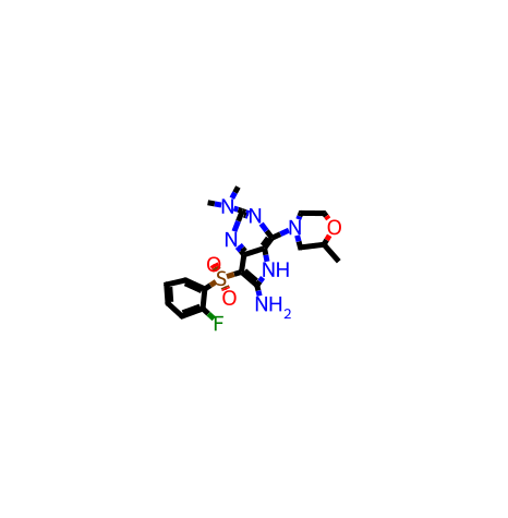 CC1CN(c2nc(N(C)C)nc3c(S(=O)(=O)c4ccccc4F)c(N)[nH]c23)CCO1